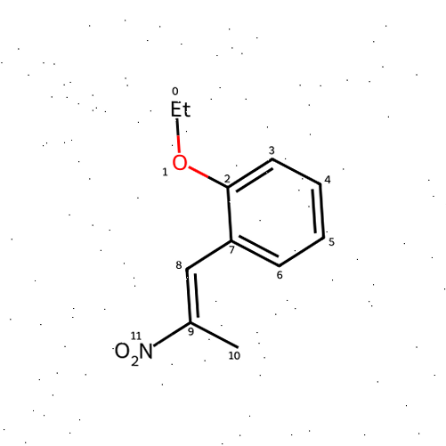 CCOc1ccccc1C=C(C)[N+](=O)[O-]